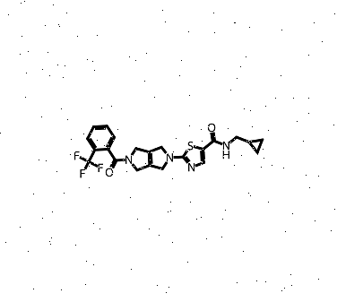 O=C(NCC1CC1)c1cnc(N2CC3=C(CN(C(=O)c4ccccc4C(F)(F)F)C3)C2)s1